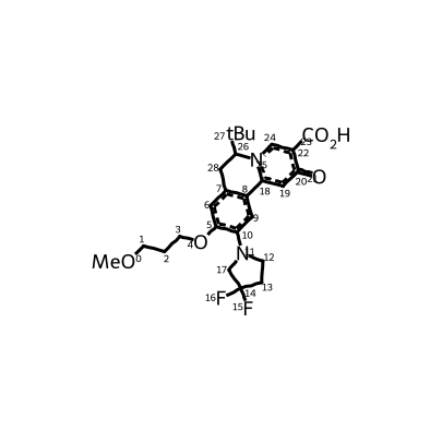 COCCCOc1cc2c(cc1N1CCC(F)(F)C1)-c1cc(=O)c(C(=O)O)cn1C(C(C)(C)C)C2